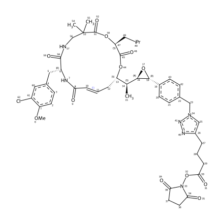 COc1ccc(C[C@H]2NC(=O)/C=C/C[C@@H]([C@H](C)[C@H]3O[C@@H]3c3ccc(Cn4cc(CCCC(=O)ON5C(=O)CCC5=O)nn4)cc3)OC(=O)[C@H](CC(C)C)OC(=O)C(C)(C)CNC2=O)cc1Cl